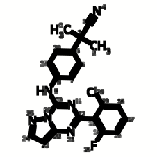 CC(C)(C#N)c1ccc(Nc2nc(-c3c(F)cccc3Cl)nc3ccnn23)cc1